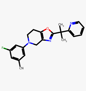 CC(C)(c1ccccn1)c1nc2c(o1)CCN(c1cc(F)cc(C#N)c1)C2